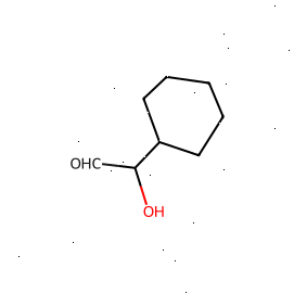 O=CC(O)C1CCCCC1